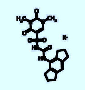 Cn1cc(S(=O)(=O)NC(=O)Nc2c3c(cc4c2CCC4)CCC3)c(=O)n(C)c1=O.[K]